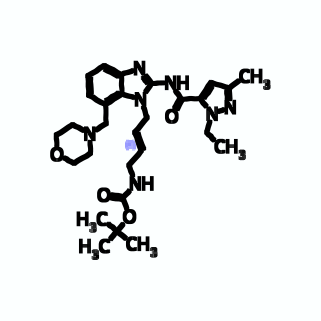 CCn1nc(C)cc1C(=O)Nc1nc2cccc(CN3CCOCC3)c2n1C/C=C/CNC(=O)OC(C)(C)C